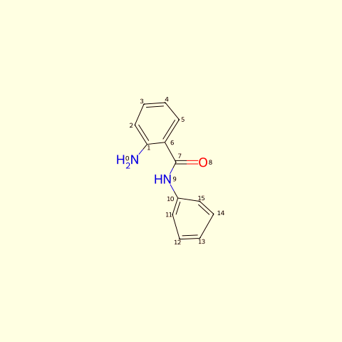 Nc1ccccc1C(=O)Nc1ccccc1